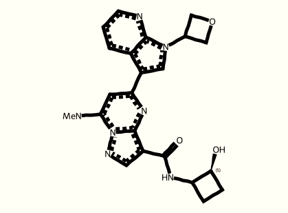 CNc1cc(-c2cn(C3COC3)c3ncccc23)nc2c(C(=O)NC3CC[C@@H]3O)cnn12